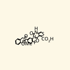 COc1ccccc1CS(=O)(=O)c1ccc(F)c(-n2c(=O)[nH]c3csc(C(=O)O)c3c2=O)c1